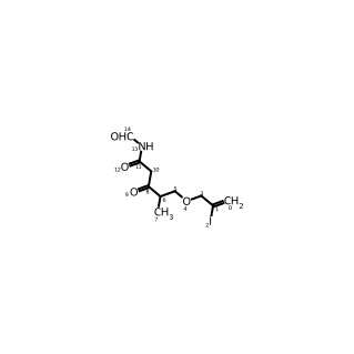 C=C(I)COCC(C)C(=O)CC(=O)NC=O